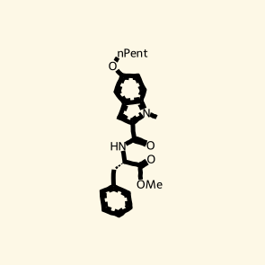 CCCCCOc1ccc2c(c1)cc(C(=O)N[C@@H](Cc1ccccc1)C(=O)OC)n2C